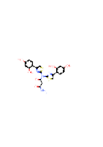 NC(=O)CC(=O)N(c1nc(-c2ccc(O)cc2O)cs1)c1nc(-c2ccc(O)cc2O)cs1